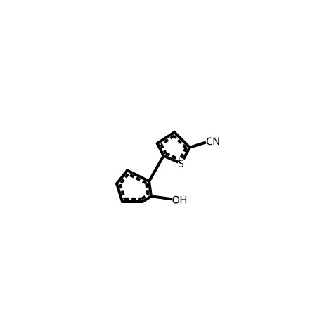 N#Cc1ccc(-c2ccccc2O)s1